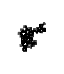 COC(=O)C(C)(C)CCN1CC(C(=O)Nc2ncc(Cl)cc2OC(F)F)(c2ccccc2C(C)C)C1